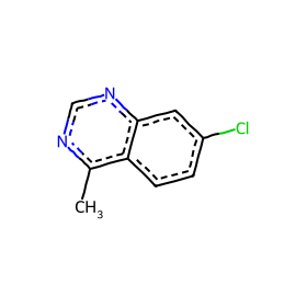 Cc1ncnc2cc(Cl)ccc12